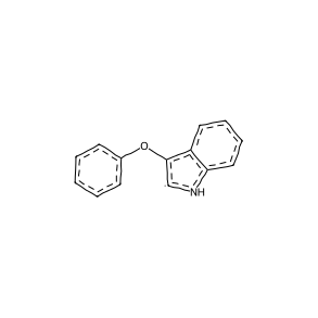 [c]1[nH]c2ccccc2c1Oc1ccccc1